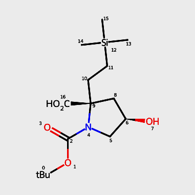 CC(C)(C)OC(=O)N1C[C@H](O)C[C@]1(CC[Si](C)(C)C)C(=O)O